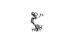 CC[C@H](O)[C@@H](O)/C=C/C=C/C=C\C/C=C\C/C=C\CCCC(=O)O